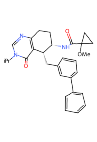 COC1(C(=O)N[C@H]2CCc3ncn(C(C)C)c(=O)c3[C@H]2Cc2cccc(-c3ccccc3)c2)CC1